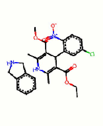 CCOC(=O)C1=C(C)NC(C)=C(C(=O)OC)C1c1cc(Cl)ccc1[N+](=O)[O-].c1ccc2c(c1)CNC2